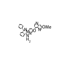 COc1cnc2c(Oc3ccc(N4N=C(c5ccccc5)c5ccccc5C4N)nc3)ccnc2c1